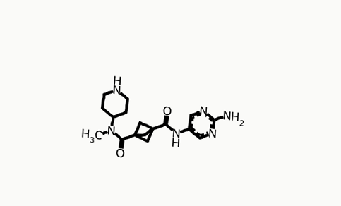 CN(C(=O)C12CC(C(=O)Nc3cnc(N)nc3)(C1)C2)C1CCNCC1